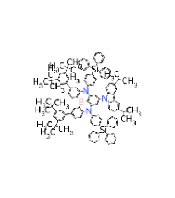 CC(C)c1ccc2c(c1)c1cc(C(C)C)ccc1n2-c1cc2c3c(c1)N(c1ccc([Si](c4ccccc4)(c4ccccc4)c4ccccc4)cc1)c1cc(-c4cc(C(C)(C)C)cc(C(C)(C)C)c4)ccc1B3c1cc(-c3cc(C(C)(C)C)cc(C(C)(C)C)c3)ccc1N2c1ccc([Si](c2ccccc2)(c2ccccc2)c2ccccc2)cc1